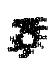 CCCCCCCC[C@H]1NC(=O)[C@H](CCNC(=O)OC(C)(C)C)NC(=O)C(NC(=O)[C@H](CCNC(=O)OC(C)(C)C)NC(=O)[C@@H](NC(=O)[C@H](CCNC(=O)OC(C)(C)C)NC(=O)[C@@H](N)CCCCCC)[C@@H](C)O)CCNC(=O)[C@H]([C@@H](C)O)NC(=O)[C@H](CCNC(=O)OC(C)(C)C)NC(=O)[C@H](CCNC(=O)OC(C)(C)C)NC(=O)[C@H](C)NC1=O